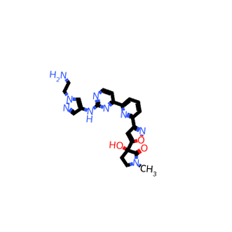 CN1CCC(O)(c2cc(-c3cccc(-c4ccnc(Nc5cnn(CCN)c5)n4)n3)no2)C1=O